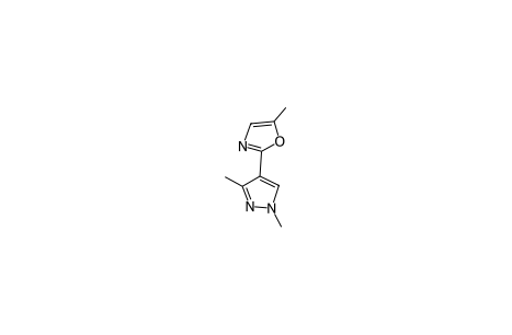 Cc1cnc(-c2cn(C)nc2C)o1